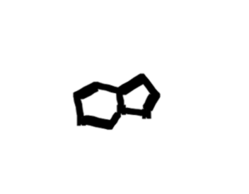 c1cc2ccnn2cn1